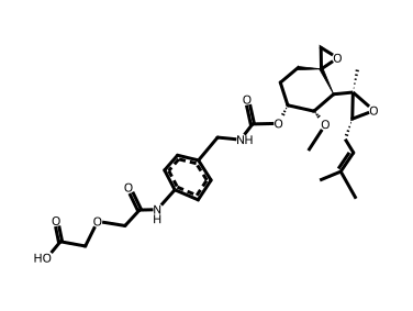 CO[C@@H]1[C@H](OC(=O)NCc2ccc(NC(=O)COCC(=O)O)cc2)CC[C@]2(CO2)[C@H]1[C@@]1(C)O[C@@H]1CC=C(C)C